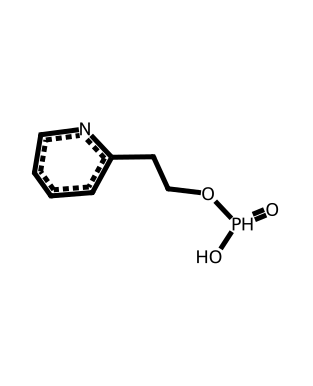 O=[PH](O)OCCc1ccccn1